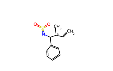 C=C[C@H](C)C(N=S(=O)=O)c1ccccc1